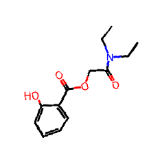 CCN(CC)C(=O)COC(=O)c1ccccc1O